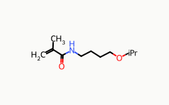 C=C(C)C(=O)NCCCCOC(C)C